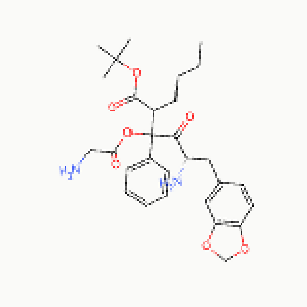 CCCCC(C(=O)OC(C)(C)C)C(OC(=O)CN)(C(=O)[C@@H](N)Cc1ccc2c(c1)OCO2)c1ccccc1